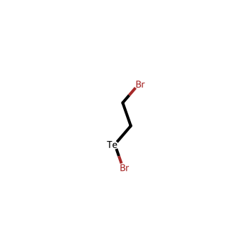 BrCC[Te]Br